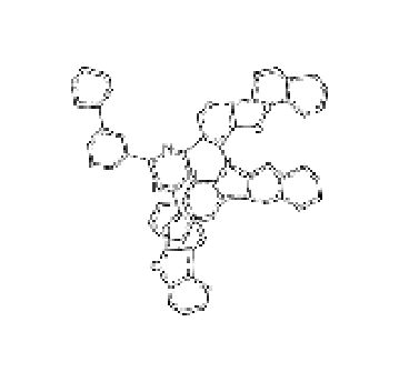 c1ccc(-c2cccc(-c3nc(-c4ccc5c(c4)oc4ccccc45)nc(-c4ccc5c(sc6c7ccccc7ccc56)c4-n4c5cc6ccccc6cc5c5cc6ccccc6cc54)n3)c2)cc1